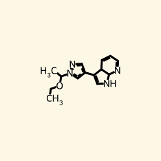 CCOC(C)n1cc(C2=CNC3N=CC=CC23)cn1